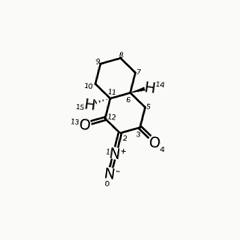 [N-]=[N+]=C1C(=O)C[C@H]2CCCC[C@@H]2C1=O